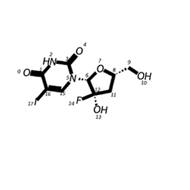 O=c1[nH]c(=O)n([C@@H]2O[C@H](CO)C[C@@]2(O)F)cc1I